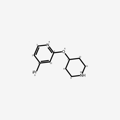 CC(C)c1ccnc(OC2CCNCC2)c1